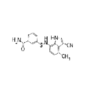 Cc1ccc(NSc2cccc(C(N)=O)c2)c2[nH]cc(C#N)c12